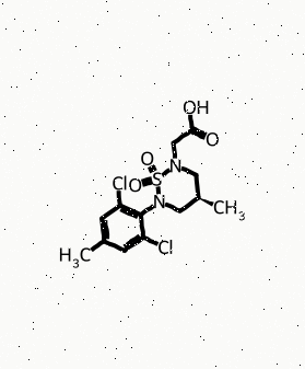 Cc1cc(Cl)c(N2C[C@H](C)CN(CC(=O)O)S2(=O)=O)c(Cl)c1